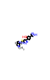 CN1CC[C@@H]2CCN(c3nc4nnc(-c5ccc(-c6cn[nH]c6)cc5O)cc4s3)[C@@H]2C1